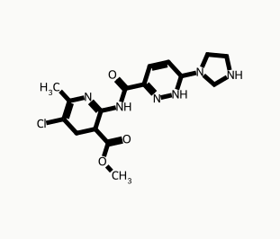 COC(=O)C1CC(Cl)=C(C)N=C1NC(=O)C1=NNC(N2CCNC2)C=C1